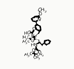 COc1cccc(-c2ccc(C[C@H]3[C@H](C[C@@H](Cc4ccccc4)NC(=O)OC(C)(C)C)OC(C)(C)N3C(=O)O)cc2)n1